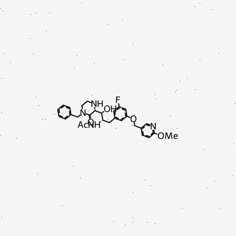 COc1ccc(COc2cc(F)cc(C[C@H](NC(C)=O)[C@H](O)[C@@H]3NCCN(Cc4ccccc4)C3=O)c2)cn1